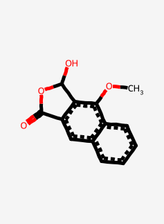 COc1c2c(cc3ccccc13)C(=O)OC2O